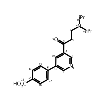 CC(C)N(CCC(=O)c1cncc(-c2ccc(C(=O)O)cc2)c1)C(C)C